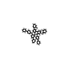 c1ccc(-c2ccc(N3B4c5cc(-c6ccccc6)ccc5N(c5ccc(-c6ccccc6)cc5)c5cc6c(oc7ccccc76)c(c54)-c4cc5c(cc43)Oc3ccccc3O5)cc2)cc1